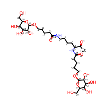 CCC(=O)C(CCCCNC(=O)CCCCOC1OC(CO)C(O)C(O)C1O)NC(=O)CCCCOC1OC(CO)C(O)C(O)C1O